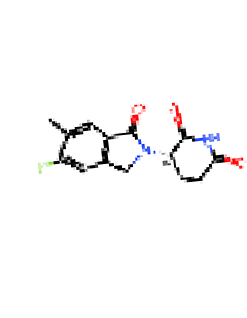 Cc1cc2c(cc1F)CN([C@H]1CCC(=O)NC1=O)C2=O